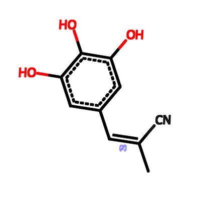 C/C(C#N)=C/c1cc(O)c(O)c(O)c1